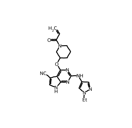 C=CC(=O)N1CCCC(Oc2nc(Nc3cnn(CC)c3)nc3[nH]cc(C#N)c23)C1